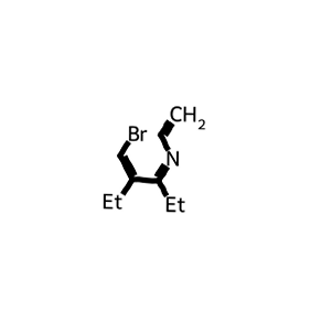 C=C/N=C(CC)\C(=C/Br)CC